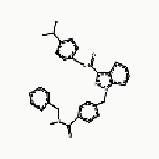 CC(C)c1ccc(NC(=O)c2nn(Cc3ccc(C(=O)N(C)Cc4ccccc4)cc3)c3ccccc23)cc1